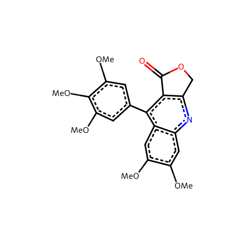 COc1cc2nc3c(c(-c4cc(OC)c(OC)c(OC)c4)c2cc1OC)C(=O)OC3